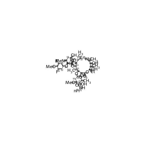 CCCNC[C@]1(O)[C@H](C)O[C@@H](O[C@H]2[C@H](C)[C@@H](O[C@@H]3O[C@H](C)C[C@H](NC)[C@H]3Oc3cc(F)c(OC)c(F)c3)[C@](C)(O)C[C@@H](C)CN[C@H](C)[C@@H](O)[C@](C)(O)[C@@H](CC)OC(=O)[C@@H]2C)C[C@@]1(C)OC